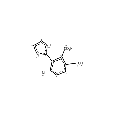 O=C(O)c1cccc(-c2ncc[nH]2)c1C(=O)O.[Ni]